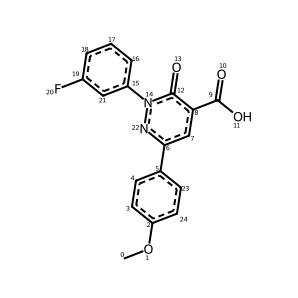 COc1ccc(-c2cc(C(=O)O)c(=O)n(-c3cccc(F)c3)n2)cc1